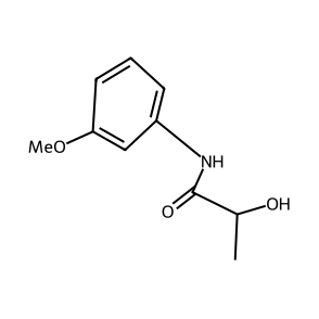 COc1cccc(NC(=O)C(C)O)c1